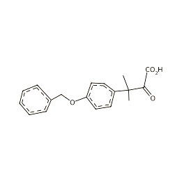 CC(C)(C(=O)C(=O)O)c1ccc(OCc2ccccc2)cc1